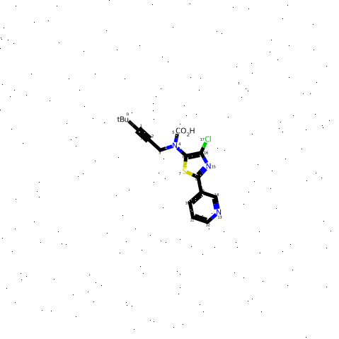 CC(C)(C)C#CCN(C(=O)O)c1sc(-c2cccnc2)nc1Cl